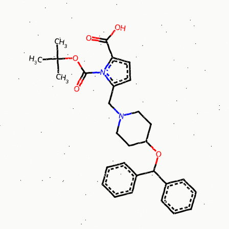 CC(C)(C)OC(=O)n1c(CN2CCC(OC(c3ccccc3)c3ccccc3)CC2)ccc1C(=O)O